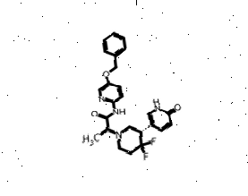 CC(C(=O)Nc1ccc(OCc2ccccc2)cn1)N1CCC(F)(F)[C@@H](c2ccc(=O)[nH]c2)C1